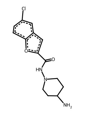 NC1CCN(NC(=O)c2cc3cc(Cl)ccc3o2)CC1